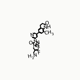 Cc1cc(-c2cncc(-n3nnn(CC(CN)=C(F)F)c3=O)c2)cc2c1NC(=O)CC2